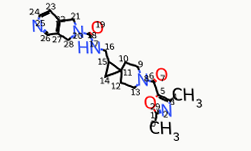 Cc1nc(C)c(C(=O)N2CCC3(CC2)CC3CNC(=O)N2Cc3ccncc3C2)o1